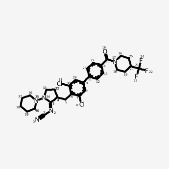 N#CN=C1C(Cc2c(Cl)cc(-c3ccc(C(=O)N4CCC(C(F)(F)F)CC4)cc3)cc2Cl)CCN1N1CCCCC1